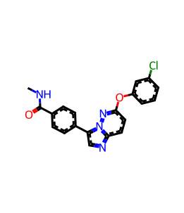 CNC(=O)c1ccc(-c2cnc3ccc(Oc4cccc(Cl)c4)nn23)cc1